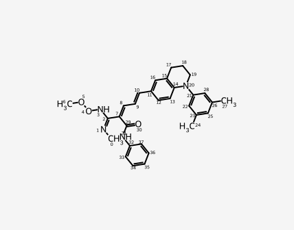 C\N=C(NOOC)/C(=C/C=C/c1ccc2c(c1)CCCN2c1cc(C)cc(C)c1)C(=O)Nc1ccccc1